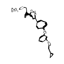 CCOC(=O)CCc1cc(-c2ccc(Oc3cccc(OCC4CC4)c3)cc2)no1